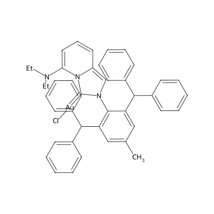 CCN(CC)c1cccc2cn(-c3c(C(c4ccccc4)c4ccccc4)cc(C)cc3C(c3ccccc3)c3ccccc3)[c](=[Au][Cl])n12